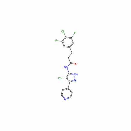 O=C(CCc1cc(F)c(Cl)c(F)c1)Nc1[nH]nc(-c2ccncc2)c1Cl